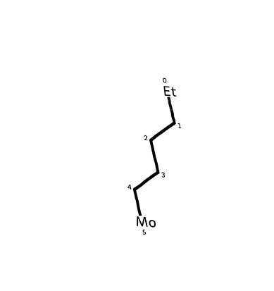 CCCCC[CH2][Mo]